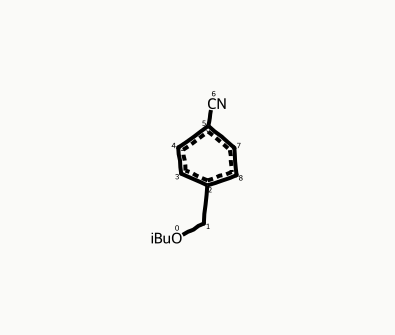 CC(C)COCc1ccc(C#N)cc1